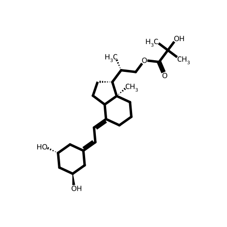 C[C@H](COC(=O)C(C)(C)O)[C@H]1CCC2/C(=C/C=C3C[C@@H](O)C[C@H](O)C3)CCC[C@@]21C